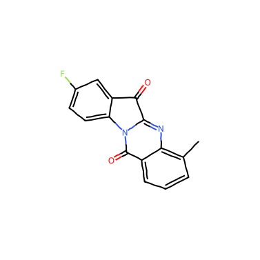 Cc1cccc2c(=O)n3c(nc12)C(=O)c1cc(F)ccc1-3